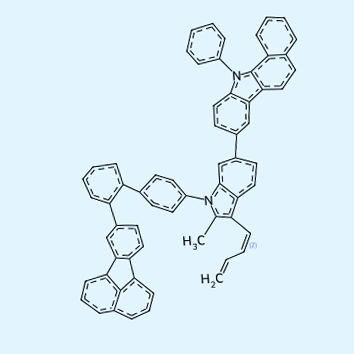 C=C/C=C\c1c(C)n(-c2ccc(-c3ccccc3-c3ccc4c(c3)-c3cccc5cccc-4c35)cc2)c2cc(-c3ccc4c(c3)c3ccc5ccccc5c3n4-c3ccccc3)ccc12